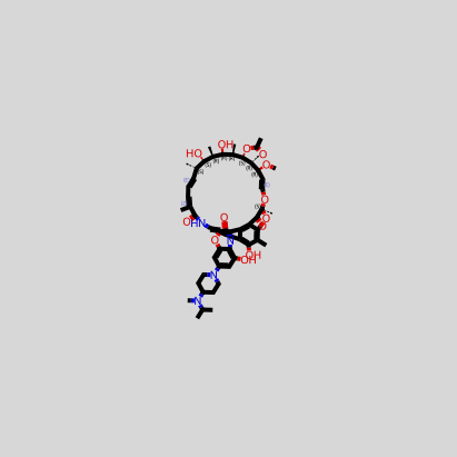 CO[C@H]1/C=C/O[C@@]2(C)Oc3c(C)c(O)c4c(=O)c(c5oc6cc(N7CCC(N(C)C(C)C)CC7)cc(O)c6nc-5c4c3C2=O)NC(=O)/C(C)=C\C=C\[C@H](C)[C@H](O)[C@@H](C)[C@@H](O)[C@@H](C)[C@H](OC(C)=O)[C@@H]1C